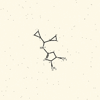 C[C@@H]1CC(NC(C2CC2)C2CC2)=N[C@@H]1C